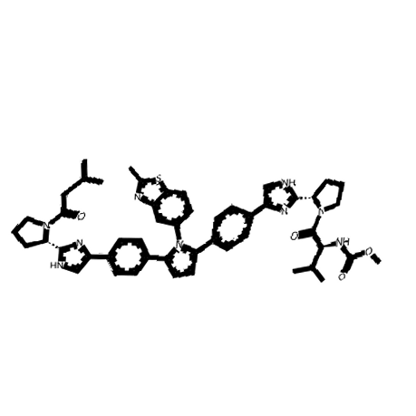 COC(=O)N[C@H](C(=O)N1CCC[C@H]1c1nc(-c2ccc(-c3ccc(-c4ccc(-c5c[nH]c([C@@H]6CCCN6C(=O)[CH]C(C)C)n5)cc4)n3-c3ccc4sc(C)nc4c3)cc2)c[nH]1)C(C)C